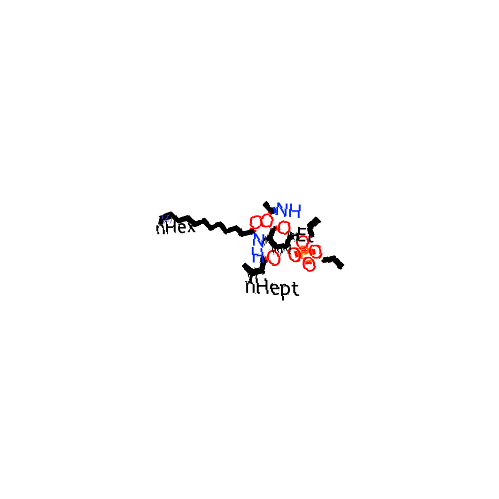 C=CCOP(=O)(OCC=C)O[C@H]1[C@H](OCC[C@H](C)CCCCCCC)[C@@H](NC(=O)CCCCCCCCC/C=C\CCCCCC)C(OC(C)=N)O[C@@H]1CC